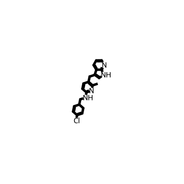 Cc1nc(NCC2C=CC(Cl)=CC2)ccc1Cc1c[nH]c2ncccc12